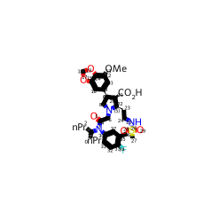 CCCC(CCC)N(C(=O)CN1C[C@H](c2cc(OC)c3c(c2)OCO3)[C@@H](C(=O)O)[C@@H]1CCNS(C)(=O)=O)c1ccc(F)c(C)c1